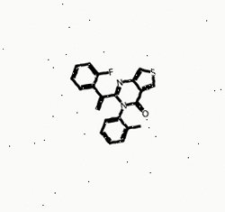 C=C(c1ccccc1F)c1nc2cscc2c(=O)n1-c1ccccc1C